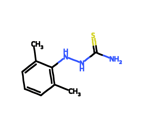 Cc1cccc(C)c1NNC(N)=S